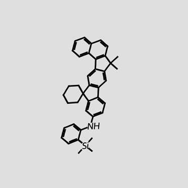 CC1(C)c2cc3c(cc2-c2c1ccc1ccccc21)C1(CCCCC1)c1cc(Nc2ccccc2[Si](C)(C)C)ccc1-3